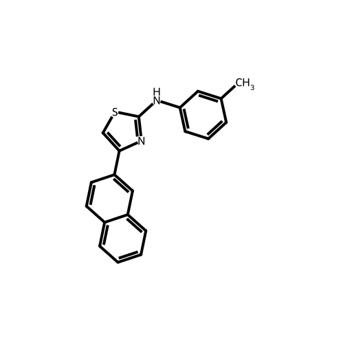 Cc1cccc(Nc2nc(-c3ccc4ccccc4c3)cs2)c1